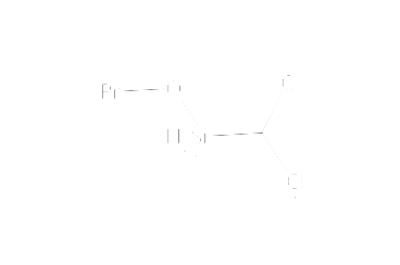 CC(C)O[SiH2]C(Cl)Cl